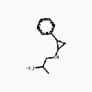 CC(CNC1CC1c1ccccc1)C(=O)O